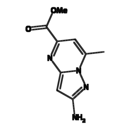 COC(=O)c1cc(C)n2nc(N)cc2n1